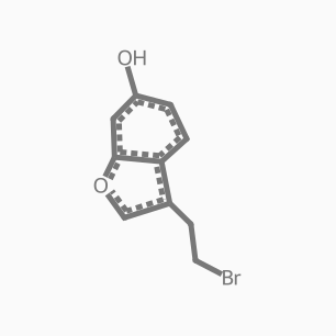 Oc1ccc2c(CCBr)coc2c1